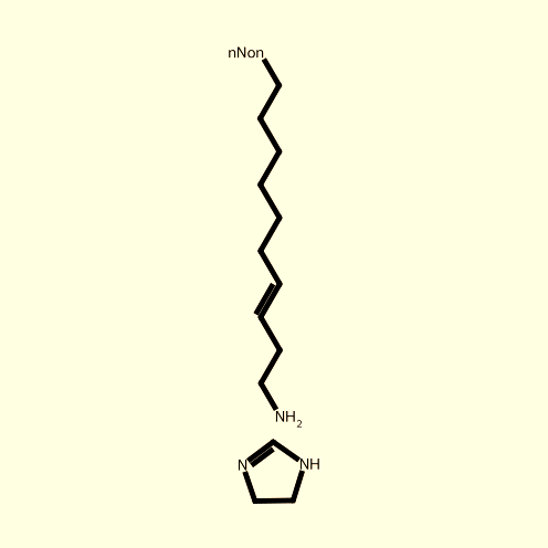 C1=NCCN1.CCCCCCCCCCCCCCCC=CCCN